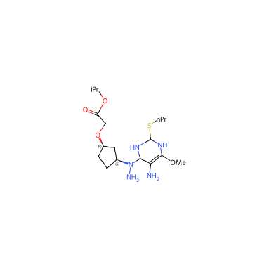 CCCSC1NC(OC)=C(N)C(N(N)[C@H]2CC[C@@H](OCC(=O)OC(C)C)C2)N1